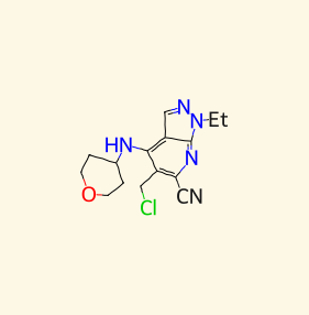 CCn1ncc2c(NC3CCOCC3)c(CCl)c(C#N)nc21